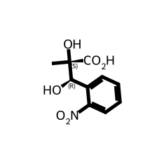 C[C@@](O)(C(=O)O)[C@H](O)c1ccccc1[N+](=O)[O-]